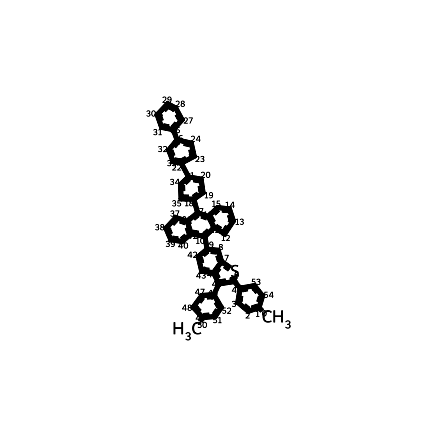 Cc1ccc(-c2sc3cc(-c4c5ccccc5c(-c5ccc(-c6ccc(-c7ccccc7)cc6)cc5)c5ccccc45)ccc3c2-c2ccc(C)cc2)cc1